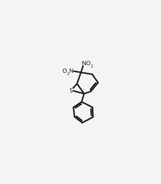 O=[N+]([O-])C1([N+](=O)[O-])CC=CC2(c3ccccc3)SC21